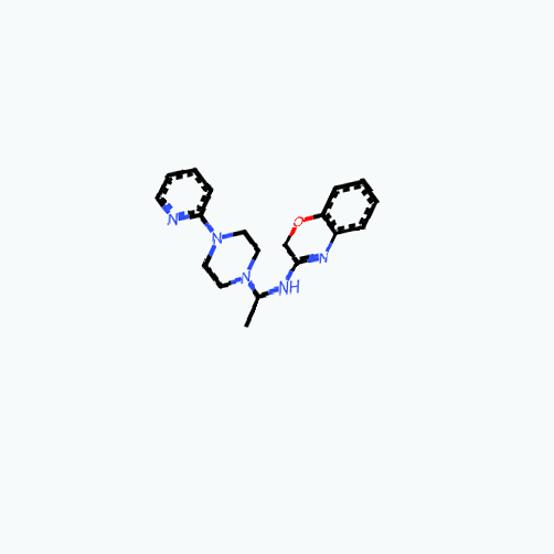 CC(NC1=Nc2ccccc2OC1)N1CCN(c2ccccn2)CC1